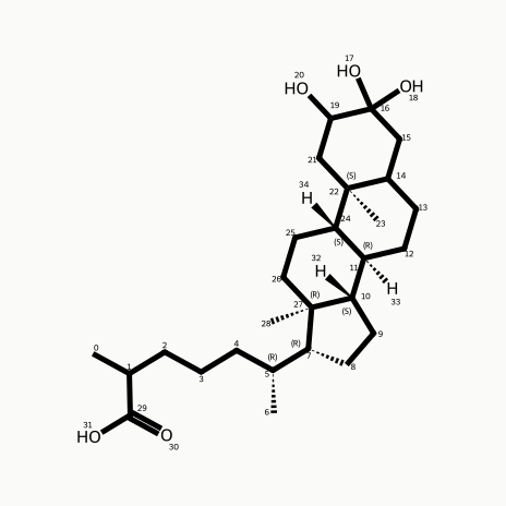 CC(CCC[C@@H](C)[C@H]1CC[C@H]2[C@@H]3CCC4CC(O)(O)C(O)C[C@]4(C)[C@H]3CC[C@]12C)C(=O)O